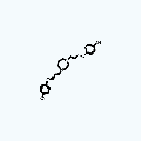 N#Cc1ccc(OCCCN2CCCN(CCCOc3ccc(C#N)cc3)CC2)cc1